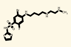 CNCCNCCCCNc1cc(F)c(S(=O)(=O)Nc2nccs2)cc1Br